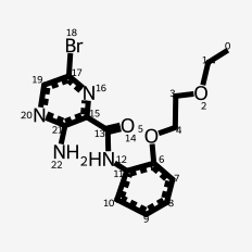 C[CH]OCCOc1ccccc1NC(=O)c1nc(Br)cnc1N